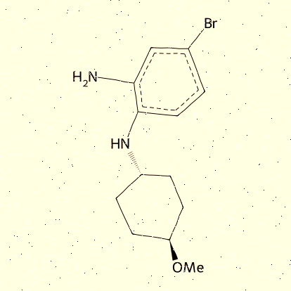 CO[C@H]1CC[C@H](Nc2ccc(Br)cc2N)CC1